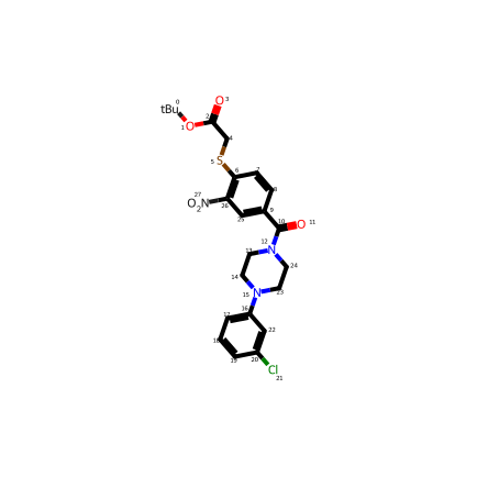 CC(C)(C)OC(=O)CSc1ccc(C(=O)N2CCN(c3cccc(Cl)c3)CC2)cc1[N+](=O)[O-]